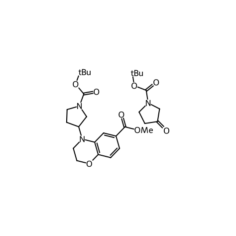 CC(C)(C)OC(=O)N1CCC(=O)C1.COC(=O)c1ccc2c(c1)N(C1CCN(C(=O)OC(C)(C)C)C1)CCO2